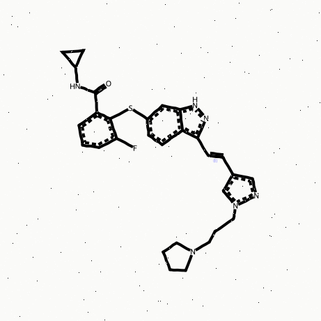 O=C(NC1CC1)c1cccc(F)c1Sc1ccc2c(/C=C/c3cnn(CCCN4CCCC4)c3)n[nH]c2c1